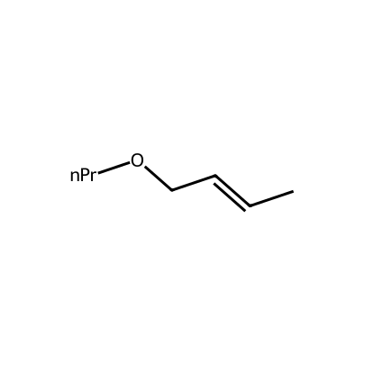 [CH2]CCOCC=CC